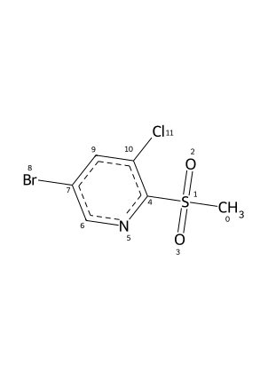 CS(=O)(=O)c1ncc(Br)cc1Cl